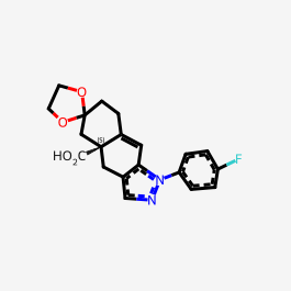 O=C(O)[C@]12Cc3cnn(-c4ccc(F)cc4)c3C=C1CCC1(C2)OCCO1